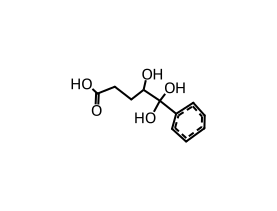 O=C(O)CCC(O)C(O)(O)c1ccccc1